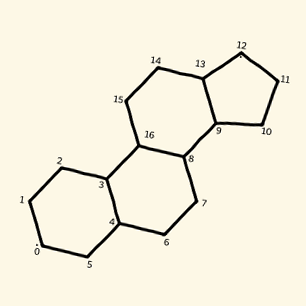 [CH]1CCC2C(C1)CCC1C3CC[CH]C3CCC21